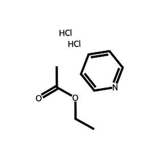 CCOC(C)=O.Cl.Cl.c1ccncc1